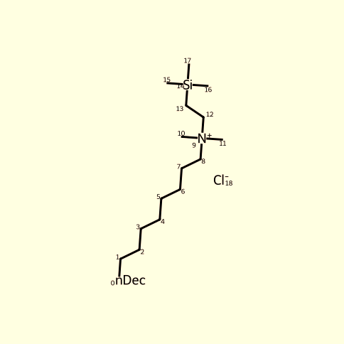 CCCCCCCCCCCCCCCCCC[N+](C)(C)CC[Si](C)(C)C.[Cl-]